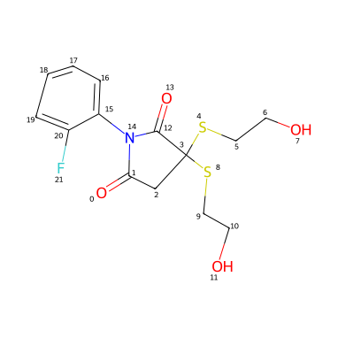 O=C1CC(SCCO)(SCCO)C(=O)N1c1ccccc1F